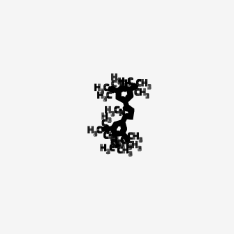 Cc1c(C(C)(C)C)cc(-c2ccc(-c3cc(C(C)(C)C)c(O[Si](C)(C)C)c(C(C)(C)C)c3)n2C)cc1C(C)(C)C